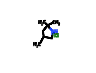 CC1CNC(C)(C)C1.Cl